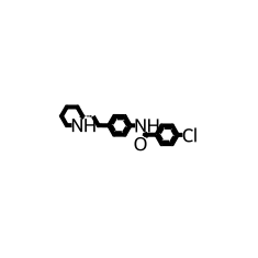 O=C(Nc1ccc(CC[C@H]2CCCCN2)cc1)c1ccc(Cl)cc1